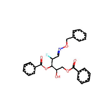 O=C(OCC(O)C(OC(=O)c1ccccc1)C(F)C=NOCc1ccccc1)c1ccccc1